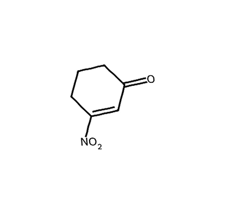 O=C1C=C([N+](=O)[O-])CCC1